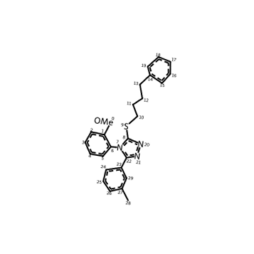 COc1ccccc1-n1c(SCCCCc2ccccc2)nnc1-c1cccc(C)c1